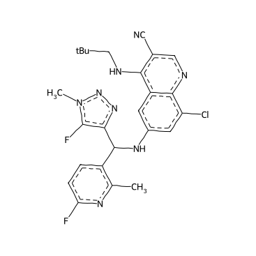 Cc1nc(F)ccc1C(Nc1cc(Cl)c2ncc(C#N)c(NCC(C)(C)C)c2c1)c1nnn(C)c1F